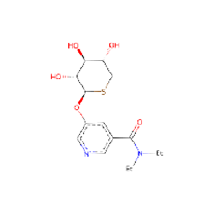 CCN(CC)C(=O)c1cncc(O[C@@H]2SC[C@@H](O)[C@H](O)[C@H]2O)c1